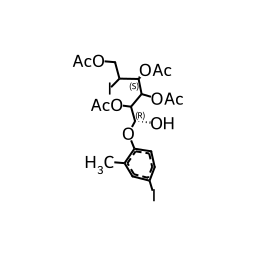 CC(=O)OCC(I)[C@@H](OC(C)=O)C(OC(C)=O)C(OC(C)=O)[C@H](O)Oc1ccc(I)cc1C